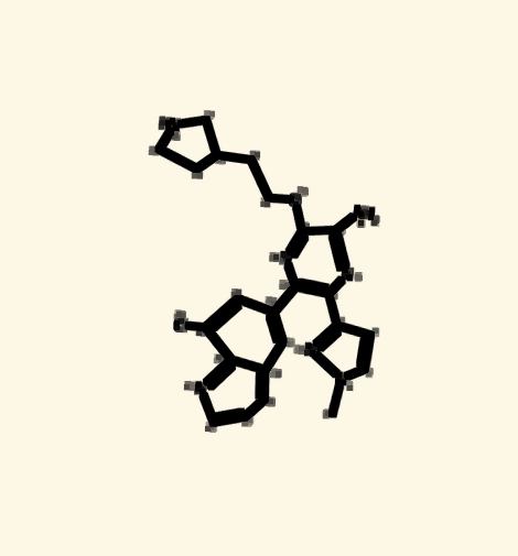 Cn1ccc(-c2nc(N)c(OCCC3CCNC3)nc2-c2cc(Cl)c3ncccc3c2)n1